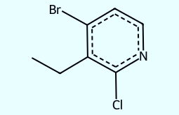 CCc1c(Br)ccnc1Cl